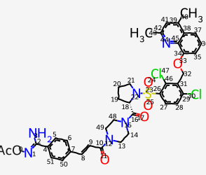 CC(=O)ON=C(N)c1ccc(C=CC(=O)N2CCN(C(=O)[C@@H]3CCCN3S(=O)(=O)c3ccc(Cl)c(COc4cccc5c(C)cc(C)nc45)c3Cl)CC2)cc1